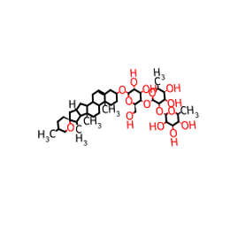 CC1CC[C@]2(C[C@H]3CC4C5CC=C6C[C@@H](O[C@@H]7O[C@H](CO)[C@@H](O[C@@H]8O[C@@H](C)[C@H](O)[C@@H](O)[C@H]8O[C@@H]8O[C@@H](C)[C@H](O)[C@@H](O)[C@H]8O)[C@H](O)[C@H]7O)CC[C@]6(C)C5CC[C@]4(C)C3C2C)OC1